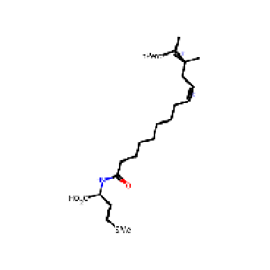 CCCCC/C(C)=C(/C)C/C=C\CCCCCCCC(=O)NC(CCSC)C(=O)O